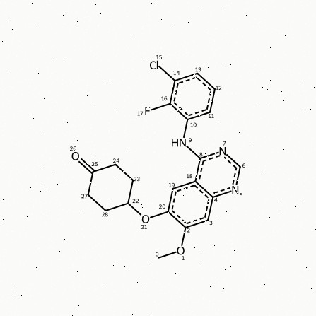 COc1cc2ncnc(Nc3cccc(Cl)c3F)c2cc1OC1CCC(=O)CC1